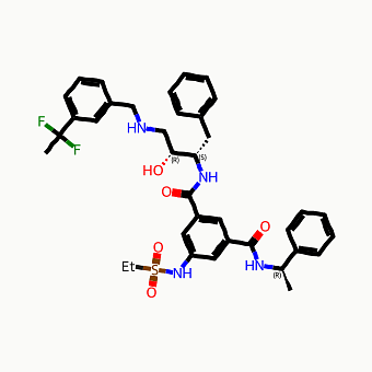 CCS(=O)(=O)Nc1cc(C(=O)N[C@@H](Cc2ccccc2)[C@H](O)CNCc2cccc(C(C)(F)F)c2)cc(C(=O)N[C@H](C)c2ccccc2)c1